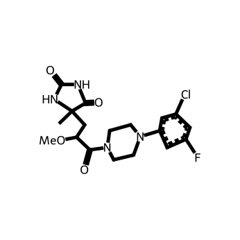 COC(CC1(C)NC(=O)NC1=O)C(=O)N1CCN(c2cc(F)cc(Cl)c2)CC1